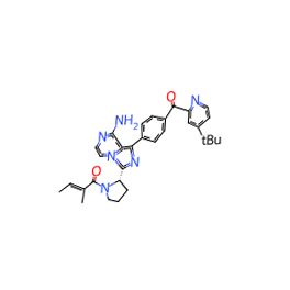 C/C=C(\C)C(=O)N1CCC[C@H]1c1nc(-c2ccc(C(=O)c3cc(C(C)(C)C)ccn3)cc2)c2c(N)nccn12